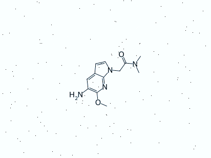 COc1nc2c(ccn2CC(=O)N(C)C)cc1N